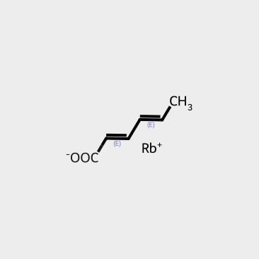 C/C=C/C=C/C(=O)[O-].[Rb+]